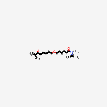 CC(C)C(=O)CCCCCOCCCCCC(=O)N(C)C(C)C